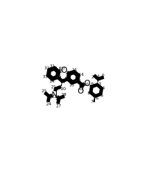 CC(C)[C@@H]1CC[C@@H](C)C[C@H]1OC(=O)c1ccc(O)c([C@H](CCN(C(C)C)C(C)C)c2ccccc2)c1